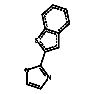 C1=CN=C(c2cc3ccccc3s2)[N]1